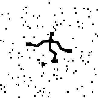 CC[N+](CCO)(CCO)CCO.[Br-]